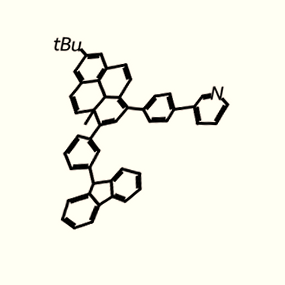 CC(C)(C)c1cc2c3c(c1)C=CC1(C)C(c4cccc(C5c6ccccc6-c6ccccc65)c4)=CC(c4ccc(-c5cccnc5)cc4)=C(C=C2)C31